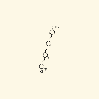 CCCCCCc1ccc(CC[C@H]2CC[C@H](CCc3ccc(CCc4ccc(Cl)c(F)c4)c(F)c3)CC2)cc1